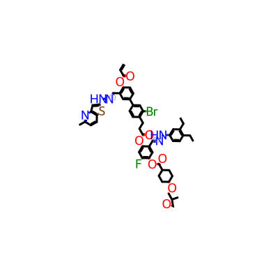 C=CC(=O)Oc1ccc(-c2ccc(CCC(=O)Oc3cc(F)c(OC(=O)C4CCC(OCC5(C)CO5)CC4)cc3/C=N/Nc3ccc(CC)c(CC)c3)c(Br)c2)cc1/C=N/Nc1cc2nc(C)ccc2s1